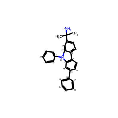 CC(C)(N)c1ccc2c3ccc(-c4ccccc4)cc3n(-c3ccccc3)c2c1